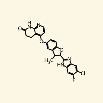 CC1c2cc(Oc3ccnc4c3CCC(=O)N4)ccc2OC1c1nc2cc(Cl)c(F)cc2[nH]1